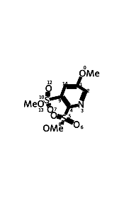 COc1cnc(S(=O)(=O)OC)c(S(=O)(=O)OC)c1